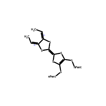 C/C=C1/SC(=C2SC(SCCCCC)=C(SCCCCC)S2)S/C1=C/C